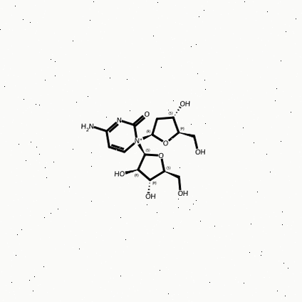 NC1=NC(=O)[N+]([C@H]2C[C@H](O)[C@@H](CO)O2)([C@H]2O[C@@H](CO)[C@H](O)[C@H]2O)C=C1